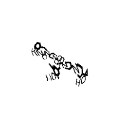 Cc1cc(C[C@@H](OC(=O)N2CCC(N3CCc4ccccc4NC3=O)CC2)C(=O)N2CCC(N3CCC(C4(O)CC4)CC3)CC2)cc(C)c1O